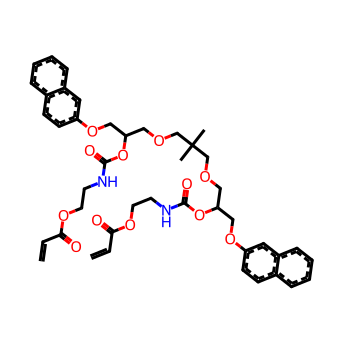 C=CC(=O)OCCNC(=O)OC(COCC(C)(C)COCC(COc1ccc2ccccc2c1)OC(=O)NCCOC(=O)C=C)COc1ccc2ccccc2c1